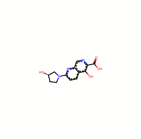 O=C(O)c1ncc2nc(N3CC[C@@H](O)C3)ccc2c1O